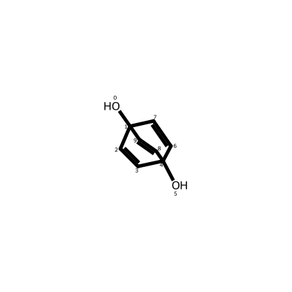 OC12C=CC(O)(C=C1)C=C2